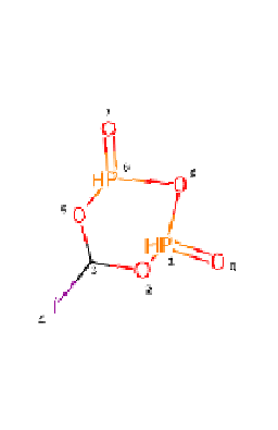 O=[PH]1OC(I)O[PH](=O)O1